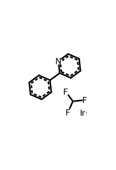 FC(F)F.[Ir].c1ccc(-c2ccccn2)cc1